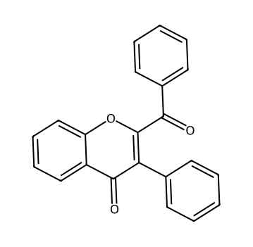 O=C(c1ccccc1)c1oc2ccccc2c(=O)c1-c1ccccc1